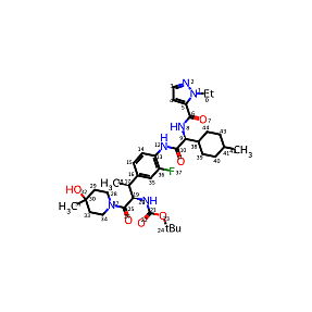 CCn1nccc1C(=O)N[C@H](C(=O)Nc1ccc([C@H](C)[C@@H](NC(=O)OC(C)(C)C)C(=O)N2CCC(C)(O)CC2)cc1F)C1CCC(C)CC1